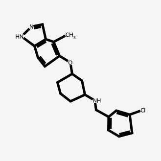 Cc1c(OC2CCCC(NCc3cccc(Cl)c3)C2)ccc2[nH]ncc12